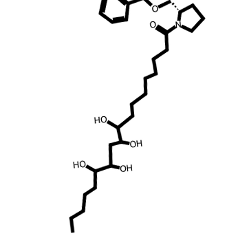 CCCCCC(O)C(O)CC(O)C(O)CCCCCCCC(=O)N1CCC[C@H]1COCc1ccccc1